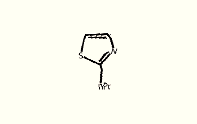 CCCc1n[c]cs1